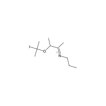 CCC/N=C(\C)C(C)OC(C)(C)I